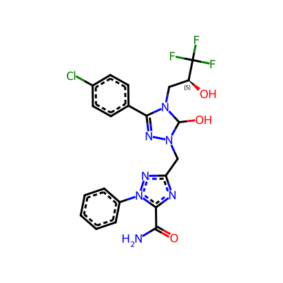 NC(=O)c1nc(CN2N=C(c3ccc(Cl)cc3)N(C[C@H](O)C(F)(F)F)C2O)nn1-c1ccccc1